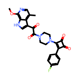 COc1ncc(C)c2c(C(=O)C(=O)N3CCN(c4c(-c5ccc(F)cc5)c(=O)c4=O)CC3)c[nH]c12